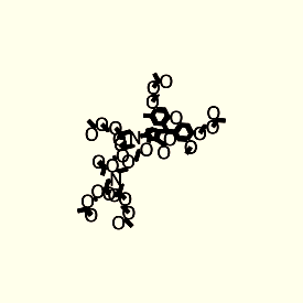 COc1cc2c(cc1OCOC(C)=O)Oc1cc(OCOC(C)=O)c(C)cc1C21OC(=O)c2c1ccc(N(CC(=O)OCOC(C)=O)CC(=O)OCOC(C)=O)c2OCCOCCN(CC(=O)OCOC(C)=O)CC(=O)OCOC(C)=O